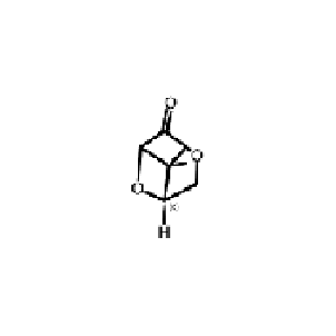 CC1(C)C2O[C@H]1COC2=O